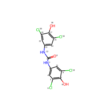 O=C(Nc1cc(Cl)c(O)c(Cl)c1)Nc1cc(Cl)c(O)c(Cl)c1